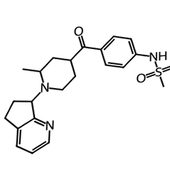 CC1CC(C(=O)c2ccc(NS(C)(=O)=O)cc2)CCN1C1CCc2cccnc21